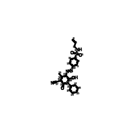 C=CCNS(=O)(=O)c1ccc(N=Nc2c(C)c(C#N)c(=O)n(-c3ccccc3)c2O)cc1